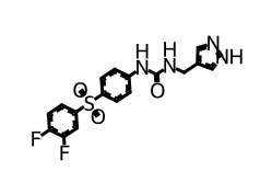 O=C(NCc1cn[nH]c1)Nc1ccc(S(=O)(=O)c2ccc(F)c(F)c2)cc1